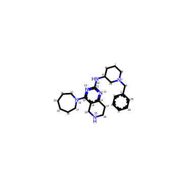 c1ccc(CN2CCCC(Nc3nc4c(c(N5CCCCCC5)n3)CNCC4)C2)cc1